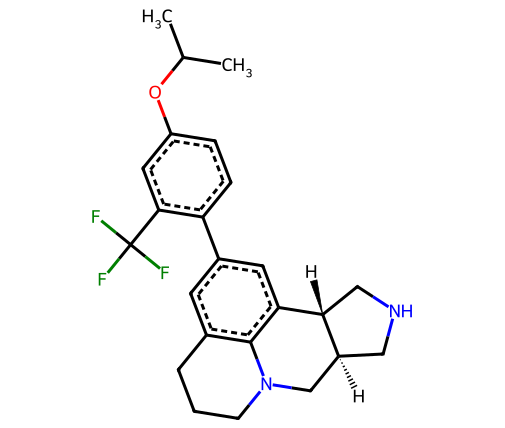 CC(C)Oc1ccc(-c2cc3c4c(c2)[C@@H]2CNC[C@H]2CN4CCC3)c(C(F)(F)F)c1